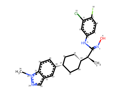 C[C@H](/C(=N/O)Nc1ccc(F)c(Cl)c1)[C@H]1CC[C@@H](c2ccc3c(cnn3C)c2)CC1